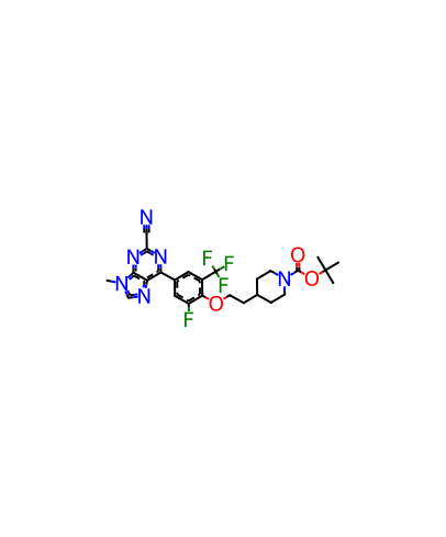 Cn1cnc2c(-c3cc(F)c(OCCC4CCN(C(=O)OC(C)(C)C)CC4)c(C(F)(F)F)c3)nc(C#N)nc21